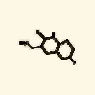 O=C(O)Cc1cc2cc(F)ccc2[nH]c1=O